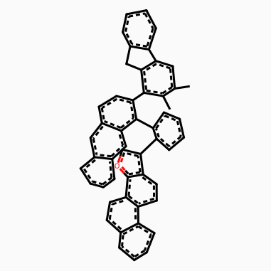 Cc1cc2c(c(-c3ccc4cc5ccccc5cc4c3-c3ccccc3-c3coc4c3ccc3c5ccccc5ccc34)c1C)Cc1ccccc1-2